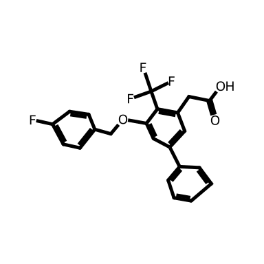 O=C(O)Cc1cc(-c2ccccc2)cc(OCc2ccc(F)cc2)c1C(F)(F)F